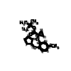 Cc1ccc(OC2CCCC2)c(OC2(C(=O)OC(C)(C)C)CC2)c1